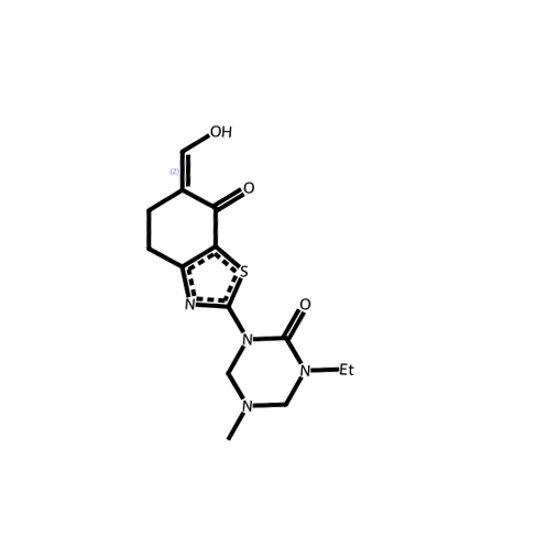 CCN1CN(C)CN(c2nc3c(s2)C(=O)/C(=C\O)CC3)C1=O